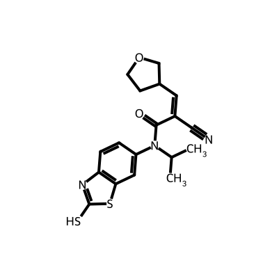 CC(C)N(C(=O)/C(C#N)=C\C1CCOC1)c1ccc2nc(S)sc2c1